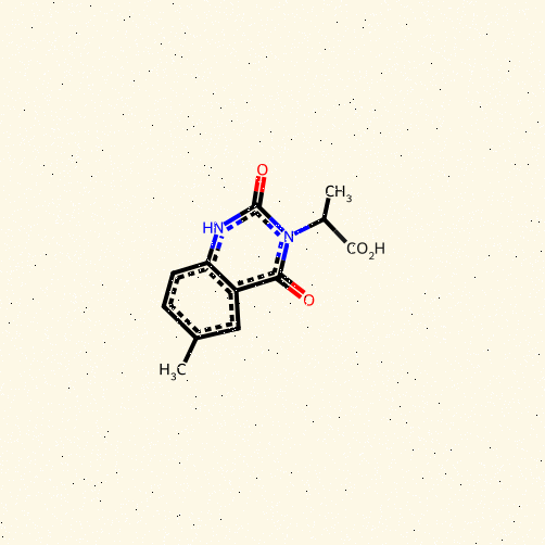 Cc1ccc2[nH]c(=O)n(C(C)C(=O)O)c(=O)c2c1